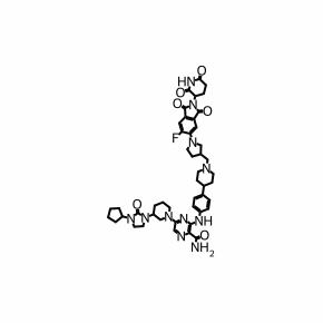 NC(=O)c1ncc(N2CCCC(N3CCN(C4CCCC4)C3=O)C2)nc1Nc1ccc(C2CCN(CC3CCN(c4cc5c(cc4F)C(=O)N(C4CCC(=O)NC4=O)C5=O)C3)CC2)cc1